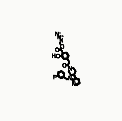 [N-]=[N+]=NCOC(=O)c1ccc(CC(=O)N2CCc3c(n(Cc4cccc(F)c4)c4ncccc34)C2)cc1O